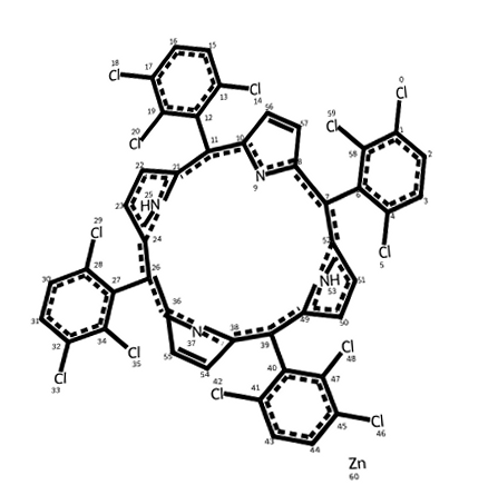 Clc1ccc(Cl)c(-c2c3nc(c(-c4c(Cl)ccc(Cl)c4Cl)c4ccc([nH]4)c(-c4c(Cl)ccc(Cl)c4Cl)c4nc(c(-c5c(Cl)ccc(Cl)c5Cl)c5ccc2[nH]5)C=C4)C=C3)c1Cl.[Zn]